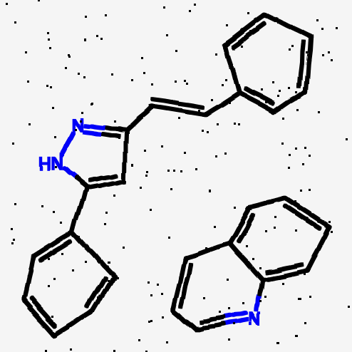 C(=Cc1cc(-c2ccccc2)[nH]n1)c1ccccc1.c1ccc2ncccc2c1